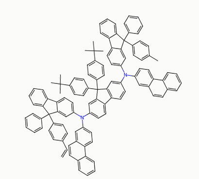 C=Cc1ccc(C2(c3ccccc3)c3ccccc3-c3ccc(N(c4ccc5c(c4)C(c4ccc(C(C)(C)C)cc4)(c4ccc(C(C)(C)C)cc4)c4cc(N(c6ccc7c(c6)C(c6ccccc6)(c6ccc(C)cc6)c6ccccc6-7)c6ccc7c(ccc8ccccc87)c6)ccc4-5)c4ccc5c(ccc6ccccc65)c4)cc32)cc1